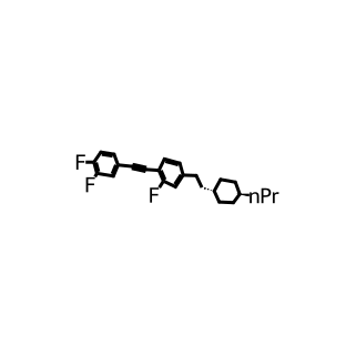 CCC[C@H]1CC[C@H](CCc2ccc(C#Cc3ccc(F)c(F)c3)c(F)c2)CC1